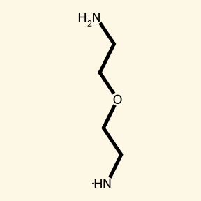 [NH]CCOCCN